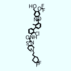 Cc1c(-c2nc3cc(CO)c(OC(F)F)cc3o2)cccc1-c1cccc(NC(=O)c2nc3c(s2)CCN(CCC2CCC(F)(F)CC2)C3)c1Cl